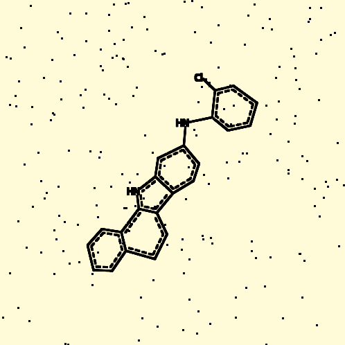 Clc1ccccc1Nc1ccc2c(c1)[nH]c1c3ccccc3ccc21